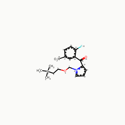 C[Si](C)(C)CCOCn1cccc1C(=O)c1cc([N+](=O)[O-])ccc1F